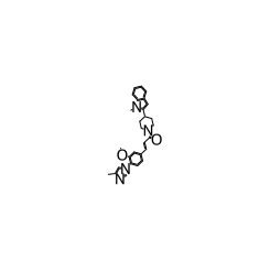 COc1cc(/C=C/C(=O)N2CCC(c3cc4ccccc4n3C)CC2)ccc1-n1cnc(C)c1